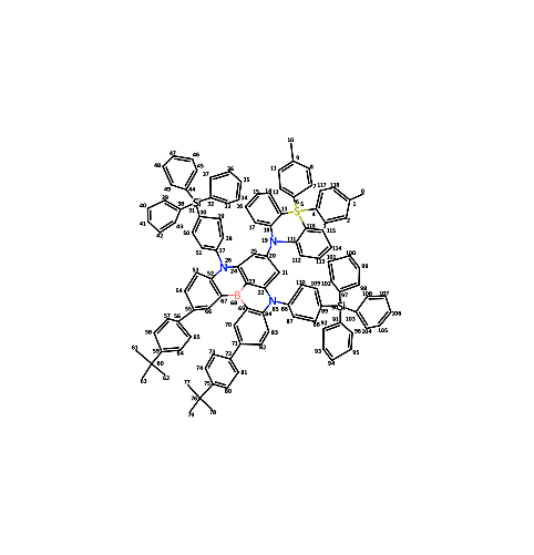 Cc1ccc(S2(c3ccc(C)cc3)c3ccccc3N(c3cc4c5c(c3)N(c3ccc([Si](c6ccccc6)(c6ccccc6)c6ccccc6)cc3)c3ccc(-c6ccc(C(C)(C)C)cc6)cc3B5c3cc(-c5ccc(C(C)(C)C)cc5)ccc3N4c3ccc([Si](c4ccccc4)(c4ccccc4)c4ccccc4)cc3)c3ccccc32)cc1